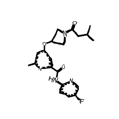 Cc1cc(OC2CN(C(=O)CC(C)C)C2)cc(C(=O)Nc2ccc(F)cn2)n1